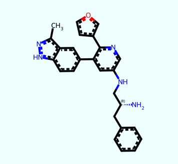 Cc1n[nH]c2ccc(-c3cc(NC[C@H](N)Cc4ccccc4)cnc3-c3ccoc3)cc12